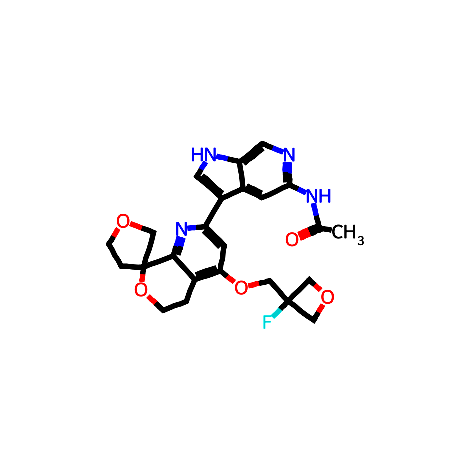 CC(=O)Nc1cc2c(-c3cc(OCC4(F)COC4)c4c(n3)C3(CCOC3)OCC4)c[nH]c2cn1